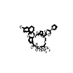 C[C@@H]1[C@@H](C)CCC[C@H]([C@H]2OC[C@H](N3CCCC3)CO2)[C@@H]2CC[C@H]2CN2C[C@@]3(CCCc4cc(Cl)ccc43)COc3ccc(cc32)C(=O)NS1(=O)=O